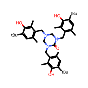 Cc1cc(C(C)(C)C)c(O)c(C)c1CN1CN(Cc2c(C)cc(C(C)(C)C)c(O)c2C)C(=O)N(Cc2c(C)cc(C(C)(C)C)c(O)c2C)C1